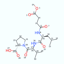 COC(=O)CCC(=O)N[C@@H](CC(C)C)C(=O)N[C@H](C(=O)N1CCC[C@H]1C(=O)O)C(C)C